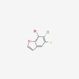 Fc1cc2ccoc2c(Br)c1Cl